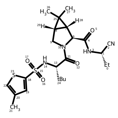 CC[C@@H](C#N)NC(=O)[C@@H]1[C@@H]2[C@H](CN1C(=O)[C@@H](NS(=O)(=O)c1cc(C)cs1)C(C)(C)C)C2(C)C